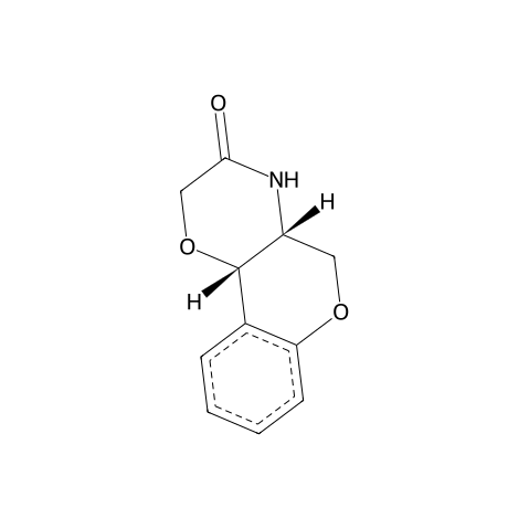 O=C1CO[C@H]2c3ccccc3OC[C@H]2N1